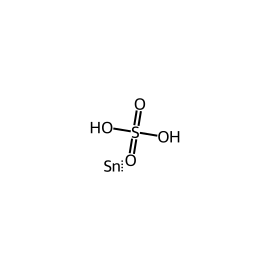 O=S(=O)(O)O.[Sn]